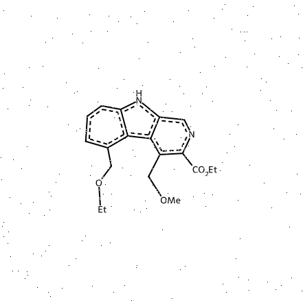 CCOCc1cccc2[nH]c3cnc(C(=O)OCC)c(COC)c3c12